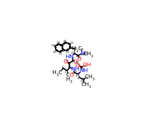 CC[C@H](C)C(NC(=O)[C@H](CC(C)C)NC(=O)O)C(=O)C(=O)N[C@@H](Cc1ccc2ccccc2c1)C(=O)N(C)C